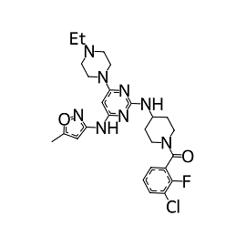 CCN1CCN(c2cc(Nc3cc(C)on3)nc(NC3CCN(C(=O)c4cccc(Cl)c4F)CC3)n2)CC1